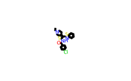 CCN1CCc2c(sc(NC(=O)c3ccc(Cl)cc3)c2-c2nc3ccccc3s2)C1